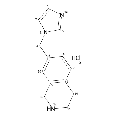 Cl.c1cn(Cc2ccc3c(c2)CNCC3)cn1